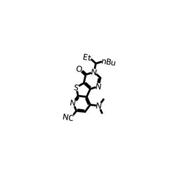 CCCCC(CC)n1cnc2c(sc3nc(C#N)cc(N(C)C)c32)c1=O